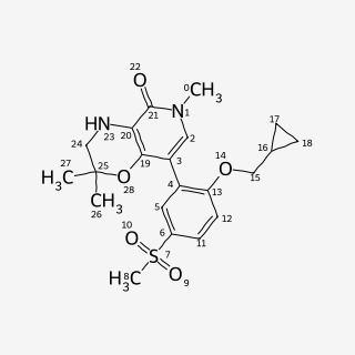 Cn1cc(-c2cc(S(C)(=O)=O)ccc2OCC2CC2)c2c(c1=O)NCC(C)(C)O2